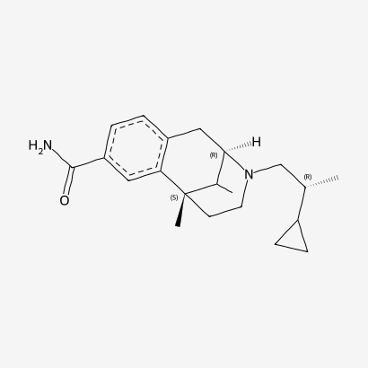 CC1[C@H]2Cc3ccc(C(N)=O)cc3[C@@]1(C)CCN2C[C@H](C)C1CC1